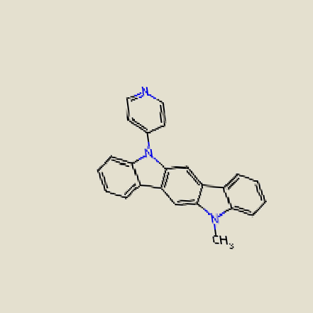 Cn1c2ccccc2c2cc3c(cc21)c1ccccc1n3-c1ccncc1